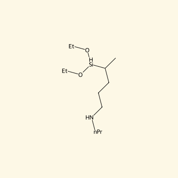 CCCNCCCC(C)[SiH](OCC)OCC